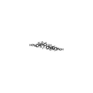 Cc1c(NC(=O)c2ccc3c(n2)CCN(CCO)C3)cccc1-c1cccc(NC(=O)c2ccc3c(n2)CCN(CCO)C3)c1C